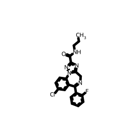 CCCNC(=O)c1nc2n(n1)-c1ccc(Cl)cc1C(c1ccccc1F)=NC2